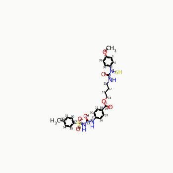 COc1ccc(N(S)C(=O)NCCCCOC(=O)c2ccc(NC(=O)NS(=O)(=O)c3ccc(C)cc3)cc2)cc1